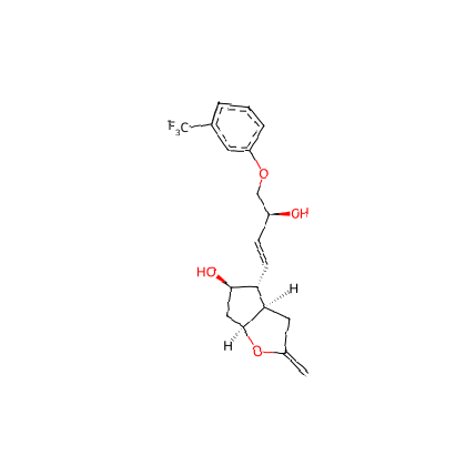 C=C1C[C@@H]2[C@@H](/C=C/[C@H](O)COc3cccc(C(F)(F)F)c3)[C@H](O)C[C@@H]2O1